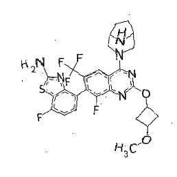 COC1CC(Oc2nc(N3CC4CCC(C3)N4)c3cc(C(F)(F)F)c(-c4ccc(F)c5sc(N)nc45)c(F)c3n2)C1